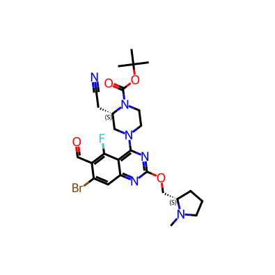 CN1CCC[C@H]1COc1nc(N2CCN(C(=O)OC(C)(C)C)[C@@H](CC#N)C2)c2c(F)c(C=O)c(Br)cc2n1